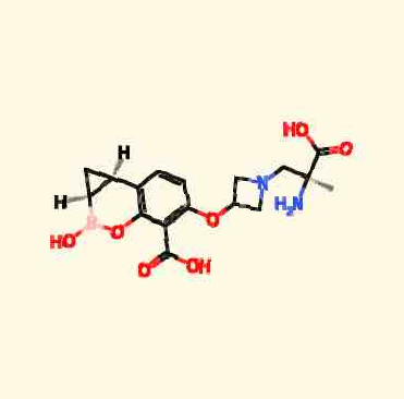 C[C@](N)(CN1CC(Oc2ccc3c(c2C(=O)O)OB(O)[C@H]2C[C@@H]32)C1)C(=O)O